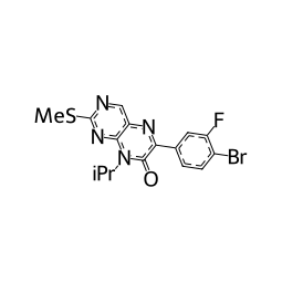 CSc1ncc2nc(-c3ccc(Br)c(F)c3)c(=O)n(C(C)C)c2n1